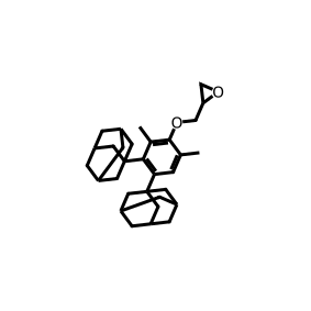 Cc1cc(C23CC4CC(CC(C4)C2)C3)c(C23CC4CC(CC(C4)C2)C3)c(C)c1OCC1CO1